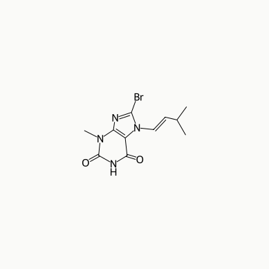 CC(C)C=Cn1c(Br)nc2c1c(=O)[nH]c(=O)n2C